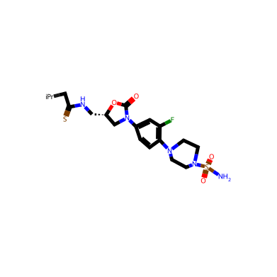 CC(C)CC(=S)NC[C@H]1CN(c2ccc(N3CCN(S(N)(=O)=O)CC3)c(F)c2)C(=O)O1